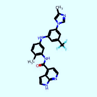 Cc1cn(-c2cc(Nc3ccc(C)c(NC(=O)c4ccnc5[nH]ccc45)c3)cc(C(F)(F)F)c2)cn1